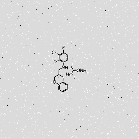 CC(=O)O.Fc1ccc(NCC2COc3ccccc3C2)c(F)c1Cl.N